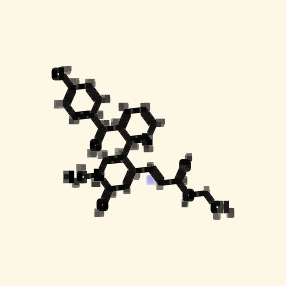 CCOC(=O)/C=C/c1cc(=O)n(C)cc1-c1ncccc1C(=O)c1ccc(Cl)cc1